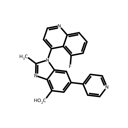 Cc1nc2c(C(=O)O)cc(-c3ccncc3)cc2n1-c1ccnc2cccc(F)c12